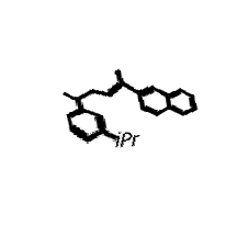 CC(=CCC(C)c1cccc(C(C)C)c1)c1ccc2ccccc2c1